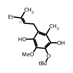 CC/C(C)=C/Cc1c(C)c(O)c(OC(C)(C)C)c(OC)c1O